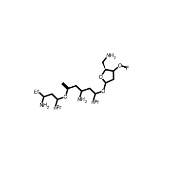 C=C(CC(N)CC(CCC)OC1CC(OF)[C@H](CN)O1)OC(CCC)CC(N)CC